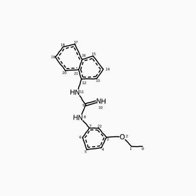 CCOc1cccc(NC(=N)Nc2cccc3ccccc23)c1